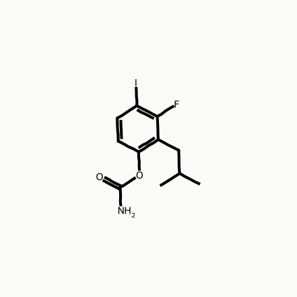 CC(C)Cc1c(OC(N)=O)ccc(I)c1F